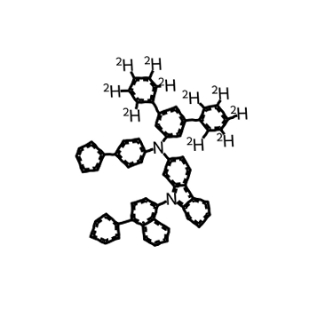 [2H]c1c([2H])c([2H])c(-c2cc(-c3c([2H])c([2H])c([2H])c([2H])c3[2H])cc(N(c3ccc(-c4ccccc4)cc3)c3ccc4c5ccccc5n(-c5ccc(-c6ccccc6)c6ccccc56)c4c3)c2)c([2H])c1[2H]